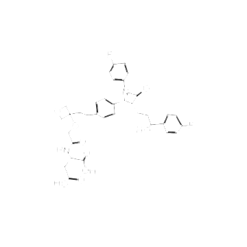 O=C(O)C[C@@H](NC(=O)COC1(CCc2ccc([C@@H]3[C@@H](CC[C@H](O)c4ccc(F)cc4)C(=O)N3c3ccc(F)cc3)cc2)COC1)C(=O)O